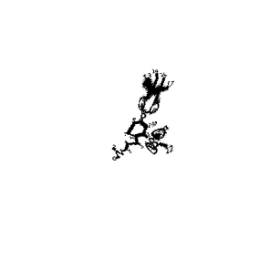 CN(C)CCCc1ccc(B2OC(C)(C)C(C)(C)O2)cc1S(C)(=O)=O